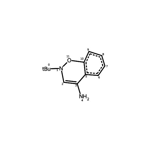 CC(C)(C)N1C=C(N)c2ccccc2O1